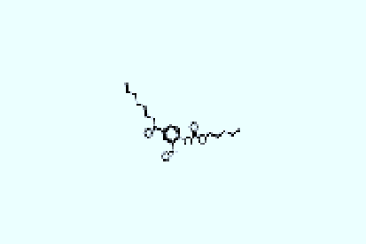 CCCCCCCC(=O)c1ccc(OC(=O)OCCCCC)c([C]=O)c1